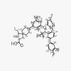 CCC1NC(C(=O)O)CC12CCN(c1cc(O[C@H](c3cc(-c4ccc(F)c(F)c4)ccc3-n3ccc(C)n3)C(F)(F)F)nc(N)n1)CC2